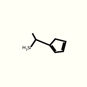 CC([SiH3])C1=CC=CC1